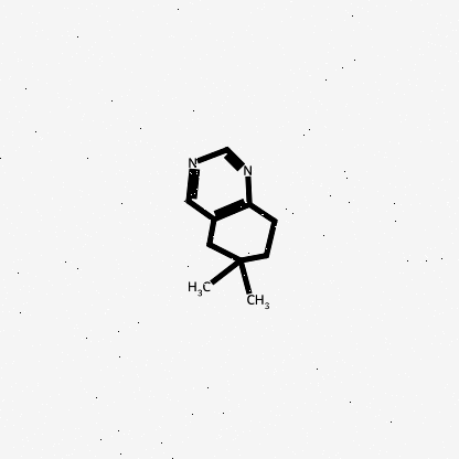 CC1(C)CCc2ncn[c]c2C1